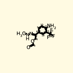 CN/N=C(\COC=O)c1ccc(N)c(C(F)(F)F)c1